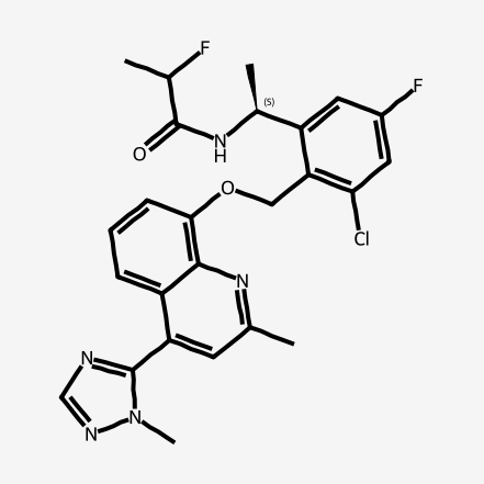 Cc1cc(-c2ncnn2C)c2cccc(OCc3c(Cl)cc(F)cc3[C@H](C)NC(=O)C(C)F)c2n1